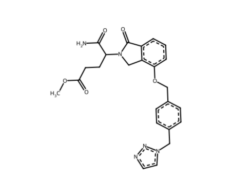 COC(=O)CCC(C(N)=O)N1Cc2c(OCc3ccc(Cn4ccnn4)cc3)cccc2C1=O